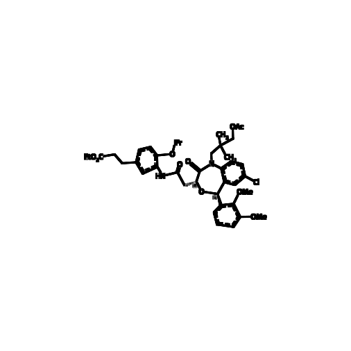 CCOC(=O)CCc1ccc(OC(C)C)c(NC(=O)C[C@H]2O[C@H](c3cccc(OC)c3OC)c3cc(Cl)ccc3N(CC(C)(C)COC(C)=O)C2=O)c1